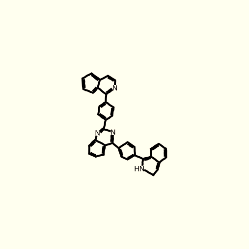 C1=c2ccccc2=C(c2ccc(-c3nc(-c4ccc(-c5nccc6ccccc56)cc4)nc4ccccc34)cc2)NC1